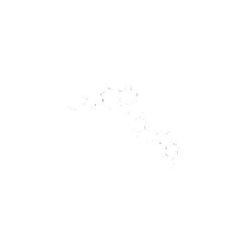 C=CC(=O)Nc1ccc2nccc(Oc3ccc(C(=O)Nc4ccccn4)cc3)c2c1